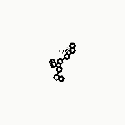 C[Si]1(C)c2cc(-c3ccc4c(c3)-c3ccc(-c5ccnc6ccccc56)cc3C43C4CC5CC(C4)CC3C5)ccc2-c2ccc3ccccc3c21